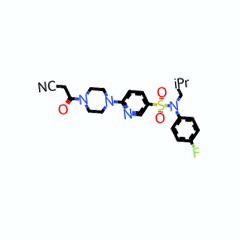 CC(C)CN(c1ccc(F)cc1)S(=O)(=O)c1ccc(N2CCN(C(=O)CC#N)CC2)nc1